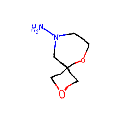 NN1CCOC2(COC2)C1